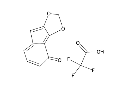 O=C(O)C(F)(F)F.O=C1C=CC=C2C=C3OCOC3=C12